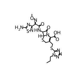 CCCn1nnnc1SCC1=C(C(=O)O)N2C(=O)C(NC(=O)/C(=N/OC)c3nsc(N)n3)[C@H]2SC1